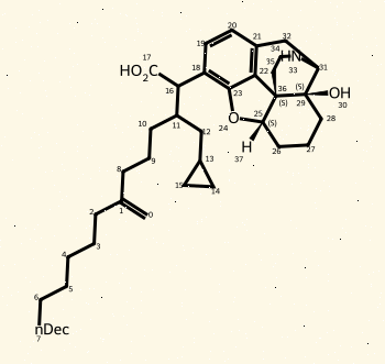 C=C(CCCCCCCCCCCCCCC)CCCC(CC1CC1)C(C(=O)O)c1ccc2c3c1O[C@H]1CCC[C@@]4(O)C(C2)NCC[C@]314